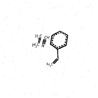 C#N.C=C.C=Cc1ccccc1